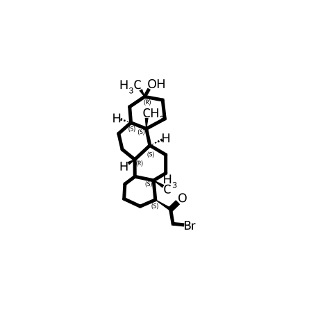 C[C@@]1(O)CC[C@@]2(C)[C@@H](CC[C@H]3C4CCC[C@H](C(=O)CBr)[C@@]4(C)CC[C@@H]32)C1